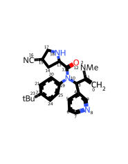 C=C(NC)C(c1cccnc1)N(C(=O)C1CC(C#N)CN1)c1ccc(C(C)(C)C)cc1